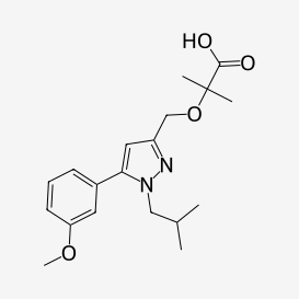 COc1cccc(-c2cc(COC(C)(C)C(=O)O)nn2CC(C)C)c1